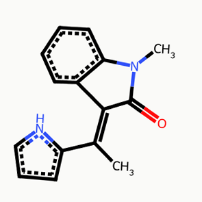 CC(=C1C(=O)N(C)c2ccccc21)c1ccc[nH]1